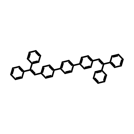 C(=C(c1ccccc1)c1ccccc1)c1ccc(-c2ccc(-c3ccc(C=C(c4ccccc4)c4ccccc4)cc3)cc2)cc1